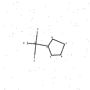 IC(I)(I)C1CCCC1